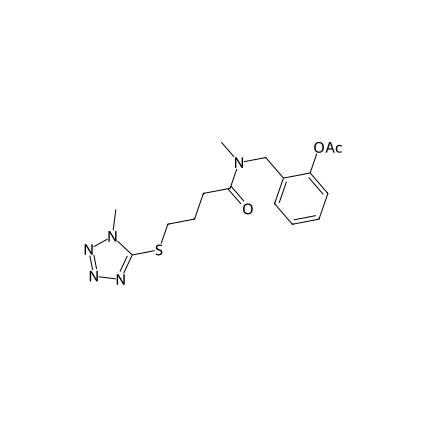 CC(=O)Oc1ccccc1CN(C)C(=O)CCCSc1nnnn1C